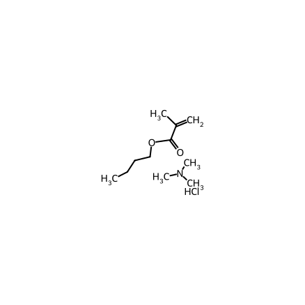 C=C(C)C(=O)OCCCC.CN(C)C.Cl